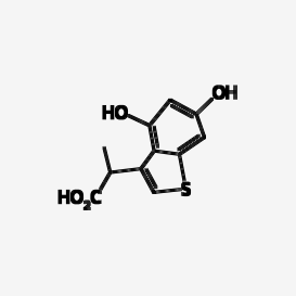 CC(C(=O)O)c1csc2cc(O)cc(O)c12